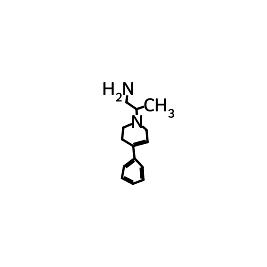 CC(CN)N1CC=C(c2ccccc2)CC1